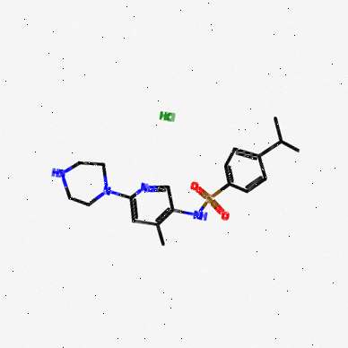 Cc1cc(N2CCNCC2)ncc1NS(=O)(=O)c1ccc(C(C)C)cc1.Cl